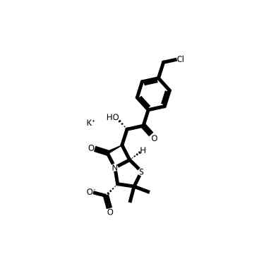 CC1(C)S[C@@H]2[C@H]([C@H](O)C(=O)c3ccc(CCl)cc3)C(=O)N2[C@H]1C(=O)[O-].[K+]